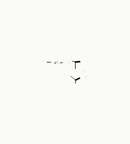 C=C(C)C(=O)O.C=C(C)C(=O)O.CC(C)O.CC(C)O